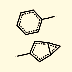 [CH2]c1cc2cc-2c1.[CH2]c1ccccc1